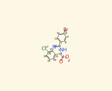 COC(=O)C1NC(c2ccc(Br)cc2)=Nc2c(Cl)cccc21